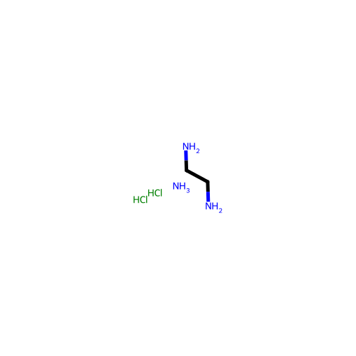 Cl.Cl.N.NCCN